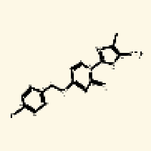 Cc1nc(-n2ccc(OCc3ccc(F)cc3)cc2=O)sc1C(=O)O